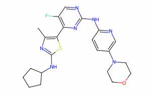 Cc1nc(NC2CCCC2)sc1-c1nc(Nc2ccc(N3CCOCC3)cn2)ncc1F